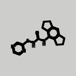 O=C(NSc1cnccn1)Nc1c2c(cc3c1CCC3)CCC2